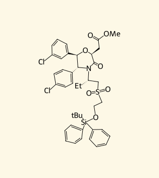 CC[C@@H](CS(=O)(=O)CCO[Si](c1ccccc1)(c1ccccc1)C(C)(C)C)N1C(=O)[C@H](CC(=O)OC)O[C@H](c2cccc(Cl)c2)[C@H]1c1ccc(Cl)cc1